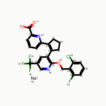 O=C([O-])c1cccc(C2=C(c3cc(C(F)(F)F)cnc3OCc3c(F)cccc3Cl)CCC2)n1.[Na+]